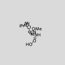 COc1nc(N[C@H]2C[C@@H](OCCO)C2)nn2ccc(-c3ccc4nnn(C(C)C)c4c3)c12